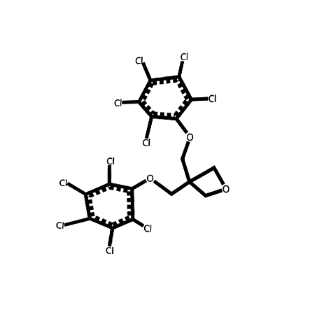 Clc1c(Cl)c(Cl)c(OCC2(COc3c(Cl)c(Cl)c(Cl)c(Cl)c3Cl)COC2)c(Cl)c1Cl